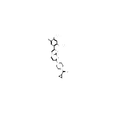 COc1cc(OC)c(-c2cn3ccc(N4CCN(C(=O)C5CC5)CC4)nc3n2)cc1Cl